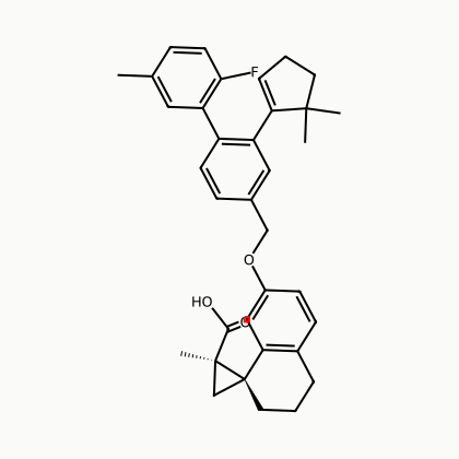 Cc1ccc(F)c(-c2ccc(COc3ccc4c(c3)[C@]3(CCC4)C[C@@]3(C)C(=O)O)cc2C2=CCCC2(C)C)c1